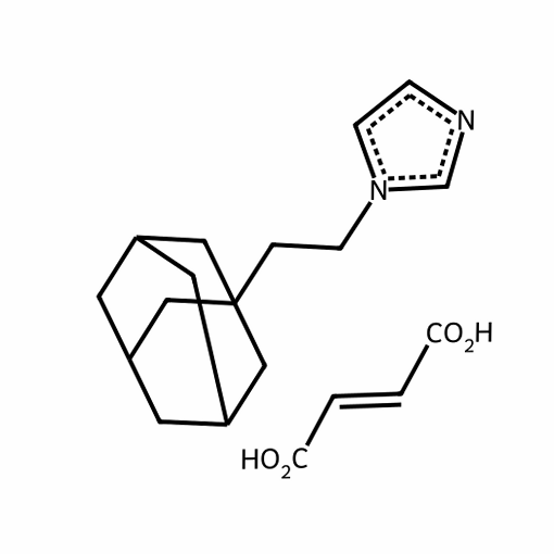 O=C(O)C=CC(=O)O.c1cn(CCC23CC4CC(CC(C4)C2)C3)cn1